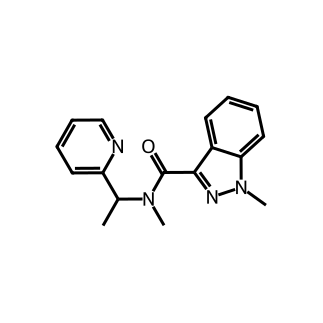 CC(c1ccccn1)N(C)C(=O)c1nn(C)c2ccccc12